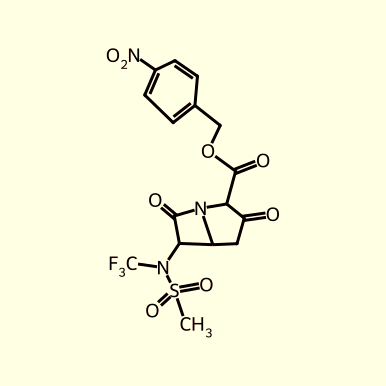 CS(=O)(=O)N(C1C(=O)N2C(C(=O)OCc3ccc([N+](=O)[O-])cc3)C(=O)CC12)C(F)(F)F